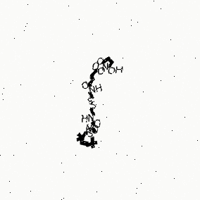 CC1(C)C=CC(C)(C)CS(=O)(=NC(=O)NCCSSCCNC(=O)CCC(=O)ON2C(=O)CCC2O)C1